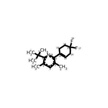 Cc1cc(C)c(C(C)(C)C)nc1C1=CCC(F)(F)CC1